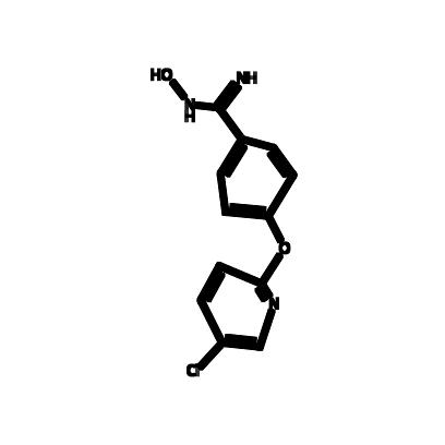 N=C(NO)c1ccc(Oc2ccc(Cl)cn2)cc1